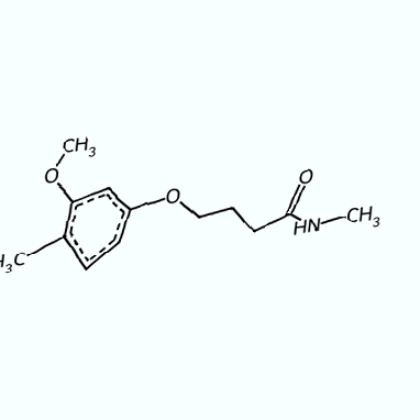 CNC(=O)CCCOc1ccc(C)c(OC)c1